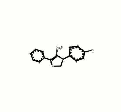 CCOC(=O)C1=C(c2ccccc2)SCN1c1ccc(CC)cc1